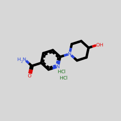 Cl.Cl.NC(=O)c1ccc(N2CCC(O)CC2)nc1